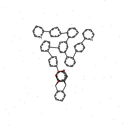 c1ccc(-c2ccc(-c3ccccc3-c3cc(-c4ccccc4-c4ccc(-c5ccccn5)cc4)cc(-c4ccccc4-c4ccc(-c5cc6c(cn5)C5c7ccccc7C6c6ccccc65)cc4)c3)cc2)nc1